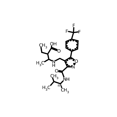 CCC(C(=O)O)C(C)NCc1c(C(=O)N[C@@H](C)C(C)C)noc1-c1ccc(C(F)(F)F)cc1